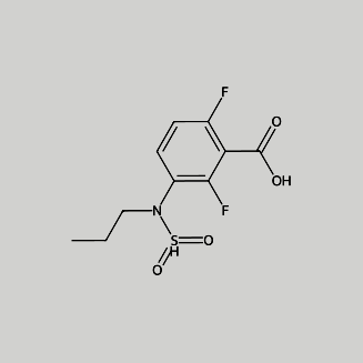 CCCN(c1ccc(F)c(C(=O)O)c1F)[SH](=O)=O